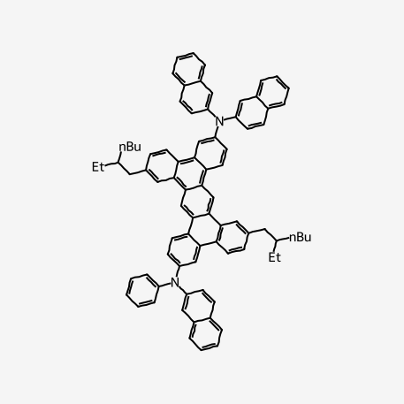 CCCCC(CC)Cc1ccc2c(c1)c1cc3c4ccc(N(c5ccc6ccccc6c5)c5ccc6ccccc6c5)cc4c4ccc(CC(CC)CCCC)cc4c3cc1c1ccc(N(c3ccccc3)c3ccc4ccccc4c3)cc21